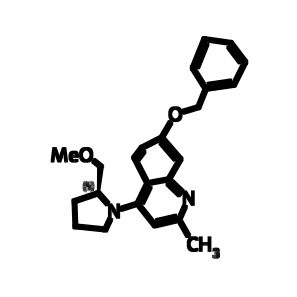 COC[C@@H]1CCCN1c1cc(C)nc2cc(OCc3ccccc3)ccc12